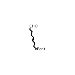 CCCCCCCC=CCCC[C]=O